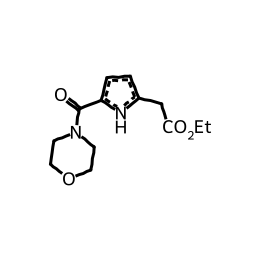 CCOC(=O)Cc1ccc(C(=O)N2CCOCC2)[nH]1